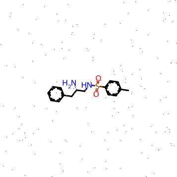 Cc1ccc(S(=O)(=O)NC[C@@H](N)Cc2ccccc2)cc1